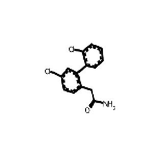 NC(=O)Cc1ccc(Cl)cc1-c1ccccc1Cl